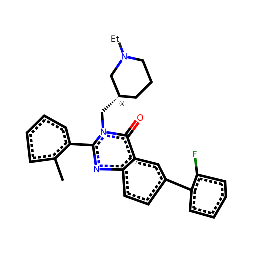 CCN1CCC[C@H](Cn2c(-c3ccccc3C)nc3ccc(-c4ccccc4F)cc3c2=O)C1